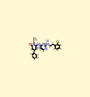 Cn1c(Nc2ccnc(NCCc3ccccc3Cl)n2)cc(-c2ccccc2)cc1=O